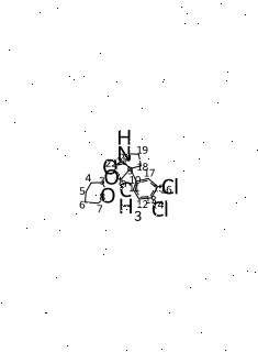 CC(OC1CCCCO1)C1(c2ccc(Cl)c(Cl)c2)CCNC1=O